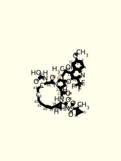 COc1ccc2nc(C(F)(F)F)c3c(c2c1)[C@](C)(O)C[C@]1(C[C@H]2C(=O)N[C@]4(C(=O)NS(=O)(=O)C5(C)CC5)C[C@H]4/C=C\CCCCC[C@H](NC(=O)O)C(=O)N2C1)O3